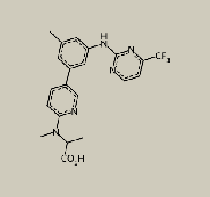 Cc1cc(Nc2nccc(C(F)(F)F)n2)cc(-c2ccc(N(C)C(C)C(=O)O)nc2)c1